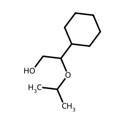 CC(C)O[C](CO)C1CCCCC1